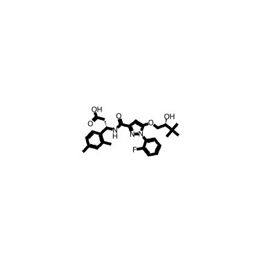 Cc1ccc([C@H](CC(=O)O)NC(=O)c2cc(OC[C@H](O)C(C)(C)C)n(-c3ccccc3F)n2)c(C)c1